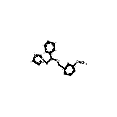 COc1cccc(COC(Cn2ccnc2)c2ccccc2)c1